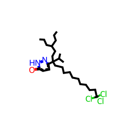 CCCC(CCC)CCC(CCCCCCCCCCC(Cl)(Cl)Cl)(c1ccc(=O)[nH]n1)C(C)C